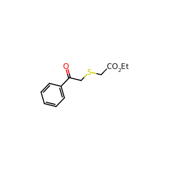 CCOC(=O)CSCC(=O)c1ccccc1